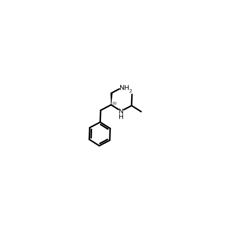 CC(C)N[C@H](CN)Cc1ccccc1